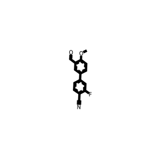 COc1ccc(-c2ccc(C#N)c(F)c2)cc1C=O